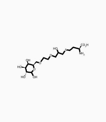 N[C@@H](CCSCC(O)COCCOC[C@H]1OC(O)[C@H](O)[C@@H](O)[C@H]1O)C(=O)O